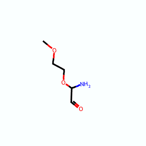 COCCOC(N)C=O